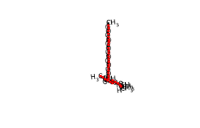 CCCCOC(=O)[C@H](Cc1ccc(OCCNC(=O)OC(C)(C)C)cc1)NC(=O)CCOCCOCCOCCOCCOCCOCCOCCOCCOCCOCCOCCOCCC